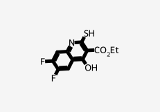 CCOC(=O)c1c(S)nc2cc(F)c(F)cc2c1O